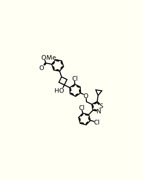 COC(=O)c1cccc(C2CC(O)(c3ccc(OCc4c(-c5c(Cl)cccc5Cl)nsc4C4CC4)cc3Cl)C2)c1